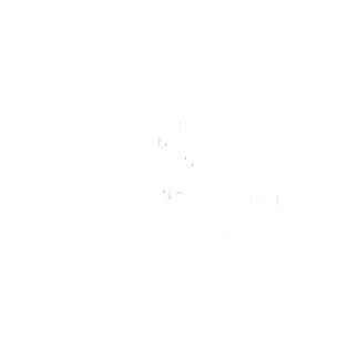 CC(C)N(C)c1nc2cc(C(=O)O)c(F)cc2nc1-c1ccc(F)cc1